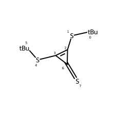 CC(C)(C)Sc1c(SC(C)(C)C)c1=S